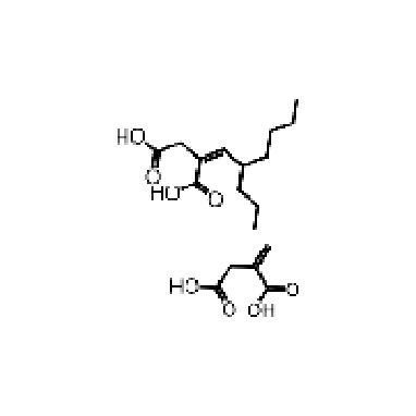 C=C(CC(=O)O)C(=O)O.CCCCC(C=C(CC(=O)O)C(=O)O)CCC